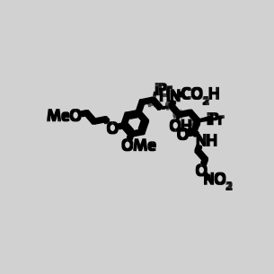 COCCCOc1cc(C[C@@H](C[C@H](NC(=O)O)[C@@H](O)C[C@H](C(=O)NCCO[N+](=O)[O-])C(C)C)C(C)C)ccc1OC